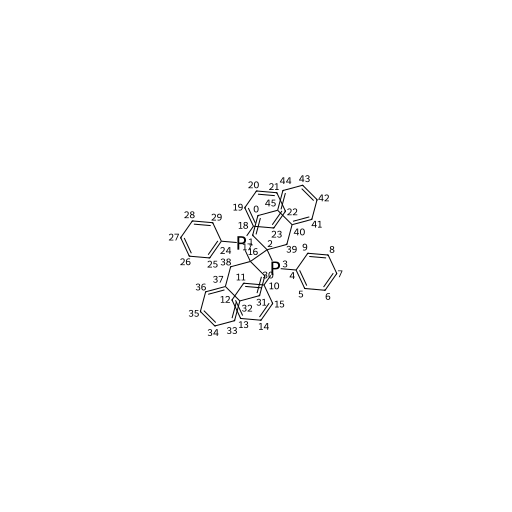 C1=CC(P(c2ccccc2)c2ccccc2)(C2(P(c3ccccc3)c3ccccc3)C=Cc3ccccc3C2)Cc2ccccc21